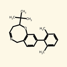 Cc1cccc(C)c1-c1ccc2c(c1)OC(C(C)(C)C)C/C=N\C2